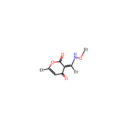 CCONC(CC)=C1C(=O)C=C(CC)OC1=O